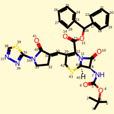 CC(C)(C)OC(=O)N[C@@H]1C(=O)N2C(C(=O)OC(c3ccccc3)c3ccccc3)=C(/C=C3\CCN(c4nncs4)C3=O)CS[C@H]12